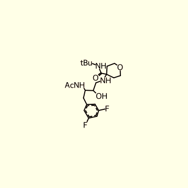 CC(=O)NC(Cc1cc(F)cc(F)c1)C(O)CNC1(C(=O)NC(C)(C)C)CCOCC1